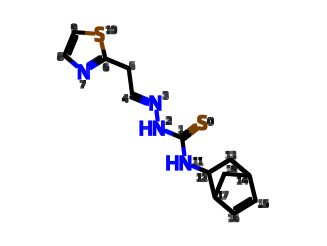 S=C(NN=CCc1nccs1)NC1CC2C=CC1C2